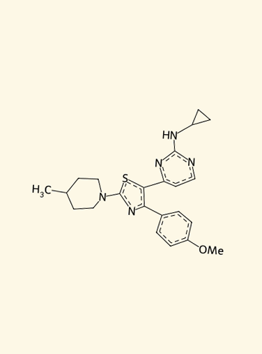 COc1ccc(-c2nc(N3CCC(C)CC3)sc2-c2ccnc(NC3CC3)n2)cc1